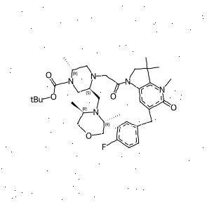 C[C@@H]1CN(CC(=O)N2CC(C)(C)c3c2cc(Cc2ccc(F)cc2)c(=O)n3C)[C@@H](CN2[C@H](C)COC[C@H]2C)CN1C(=O)OC(C)(C)C